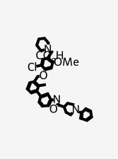 COc1cc(OCc2cccc(-c3ccc4oc(C5CCN(c6ccccc6)CC5)nc4c3)c2C)c(Cl)cc1CN1CCCCC1C(=O)O